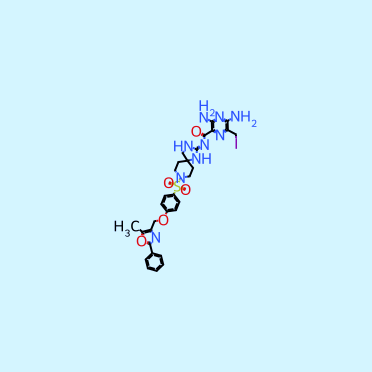 Cc1oc(-c2ccccc2)nc1COc1ccc(S(=O)(=O)N2CCC3(CC2)CN/C(=N\C(=O)c2nc(CI)c(N)nc2N)N3)cc1